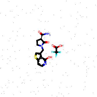 NC(=O)[C@@H]1CCN(Cc2csc3ccnc(O)c23)C1=O.O=C(O)C(F)(F)F